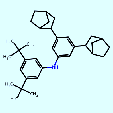 CC(C)(C)c1cc(Nc2cc(C3CC4CCC3C4)cc(C3CC4CCC3C4)c2)cc(C(C)(C)C)c1